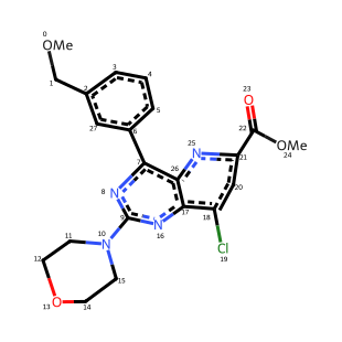 COCc1cccc(-c2nc(N3CCOCC3)nc3c(Cl)cc(C(=O)OC)nc23)c1